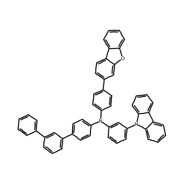 c1ccc(-c2cccc(-c3ccc(N(c4ccc(-c5ccc6c(c5)oc5ccccc56)cc4)c4cccc(-n5c6ccccc6c6ccccc65)c4)cc3)c2)cc1